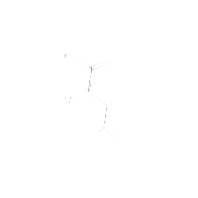 [CH2]CCC(=O)[C@@H](N)CCC(=O)O